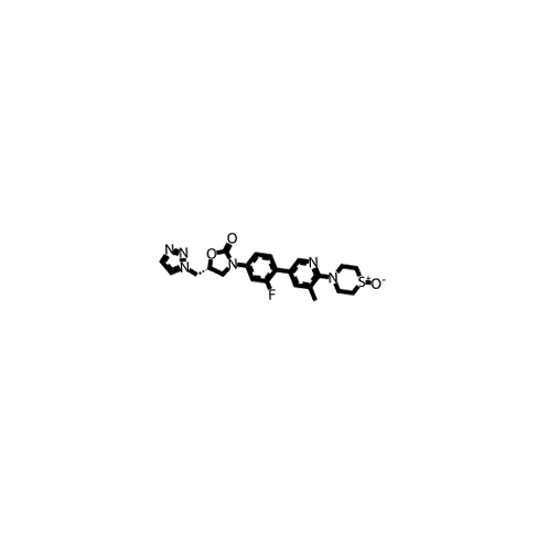 Cc1cc(-c2ccc(N3C[C@H](Cn4ccnn4)OC3=O)cc2F)cnc1N1CC[S+]([O-])CC1